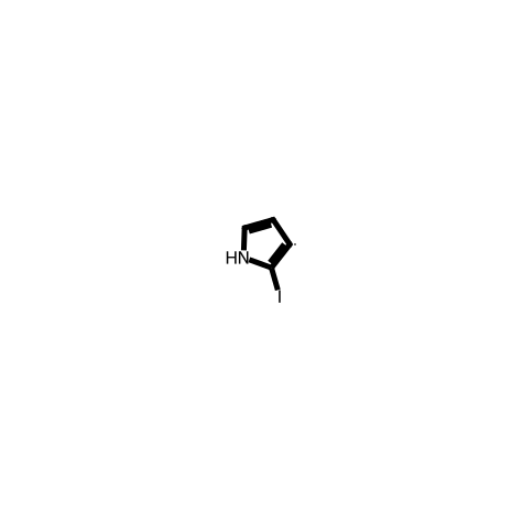 Ic1[c]cc[nH]1